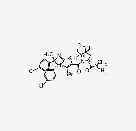 CC(C)C1=C(C(=O)N2[C@@H]3COC[C@@H]3C[C@H]2C(=O)N(C)C)SC2=N[C@@](C)(c3ccc(Cl)cc3)[C@@H](c3ccc(Cl)cc3)N21